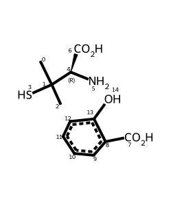 CC(C)(S)[C@H](N)C(=O)O.O=C(O)c1ccccc1O